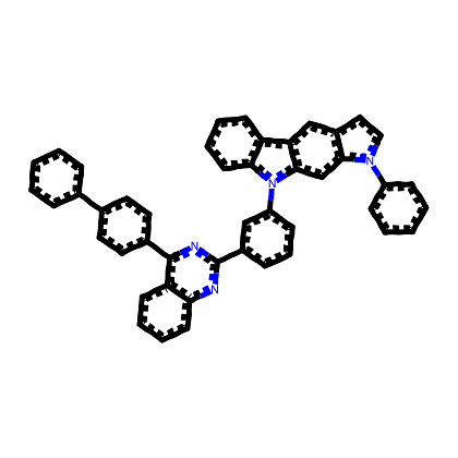 c1ccc(-c2ccc(-c3nc(-c4cccc(-n5c6ccccc6c6cc7ccn(-c8ccccc8)c7cc65)c4)nc4ccccc34)cc2)cc1